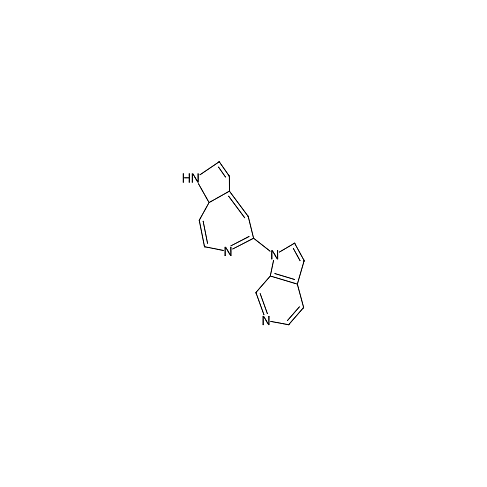 C1=CC2NC=CC2=CC(n2ccc3ccncc32)=N1